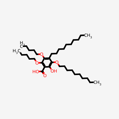 CCCCCCCCCCOc1c(O)c(C(=O)O)c(OCCCCC)c(OCCCCC)c1CCCCCCCCCC